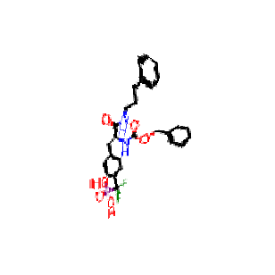 O=C(N[C@@H](Cc1ccc(C(F)(F)P(=O)(O)O)cc1)C(=O)NCCCc1ccccc1)OCc1ccccc1